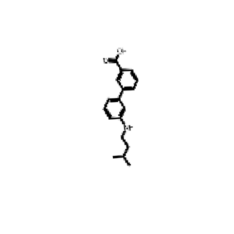 CC(C)CCNc1cccc(-c2cccc(C(=O)O)c2)c1